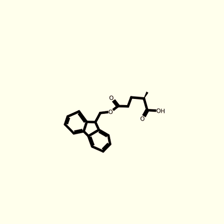 C[C@H](CCC(=O)OCC1c2ccccc2-c2ccccc21)C(=O)O